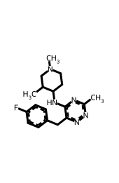 Cc1nnc(Cc2ccc(F)cc2)c(NC2CCN(C)CC2C)n1